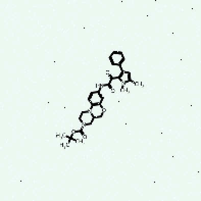 Cc1cc(-c2ccccc2)c(C(=O)C(=O)Nc2ccc3c(c2)OCC2CN(C(=O)OC(C)(C)C)CCN32)n1C